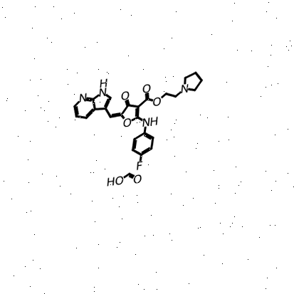 O=C(OCCN1CCCC1)C1=C(Nc2ccc(F)cc2)OC(=Cc2c[nH]c3ncccc23)C1=O.O=CO